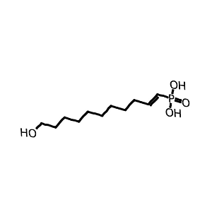 O=P(O)(O)C=CCCCCCCCCCO